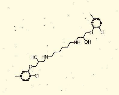 Cc1ccc(Cl)c(OCC(O)CNCCCCCCNCC(O)COc2cc(C)ccc2Cl)c1